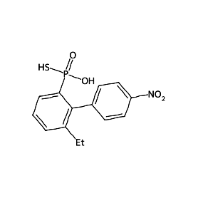 CCc1cccc(P(=O)(O)S)c1-c1ccc([N+](=O)[O-])cc1